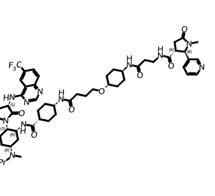 CC(C)N(C)[C@@H]1CC[C@H](N2CC[C@H](Nc3ncnc4ccc(C(F)(F)F)cc34)C2=O)[C@H](NC(=O)[C@H]2CC[C@@H](NC(=O)CCCO[C@H]3CC[C@H](NC(=O)CCNC(=O)[C@@H]4CC(=O)N(C)[C@H]4c4cccnc4)CC3)CC2)C1